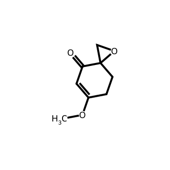 COC1=CC(=O)C2(CC1)CO2